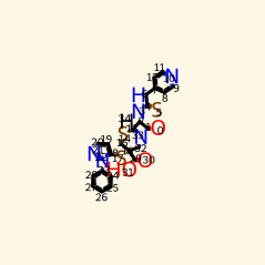 O=C1[C@@H](NC(=S)Cc2ccncc2)[C@H]2SCC(Sc3ccnn3-c3ccccc3)(C(=O)O)CN12